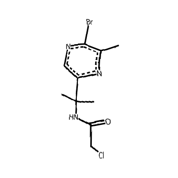 Cc1nc(C(C)(C)NC(=O)CCl)cnc1Br